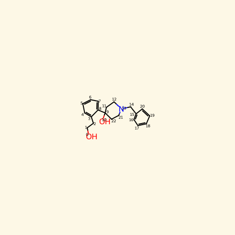 OCCc1ccccc1C1(O)CCN(Cc2ccccc2)CC1